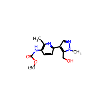 Cc1nc(-c2cnn(C)c2CO)ccc1NC(=O)OC(C)(C)C